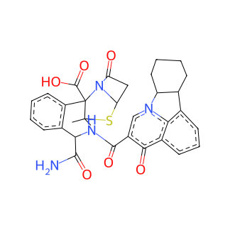 CC1(C)SC2CC(=O)N2C1(C(=O)O)c1ccccc1C(NC(=O)c1cn2c3c(cccc3c1=O)C1CCCCC12)C(N)=O